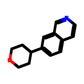 c1cc2ccc(C3CCOCC3)cc2cn1